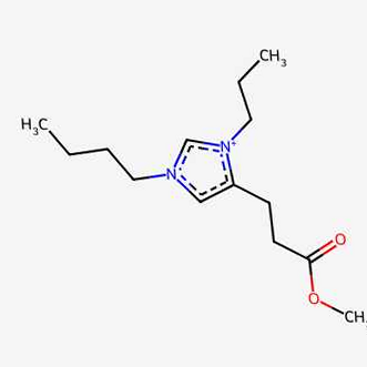 CCCCn1cc(CCC(=O)OC)[n+](CCC)c1